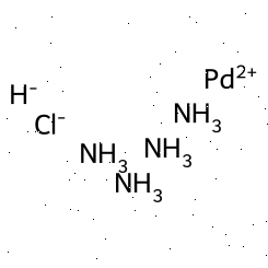 N.N.N.N.[Cl-].[H-].[Pd+2]